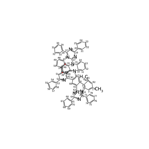 Cc1cc(C)c(-c2cc(N3c4ccccc4N(c4nc(-c5ccccc5)nc(-c5ccccc5)n4)c4ccccc43)c(-c3nc(-c4ccccc4)cc(-c4ccccc4)n3)cc2-c2nc(-c3ccccc3)nc(-c3ccccc3)n2)c(C)c1